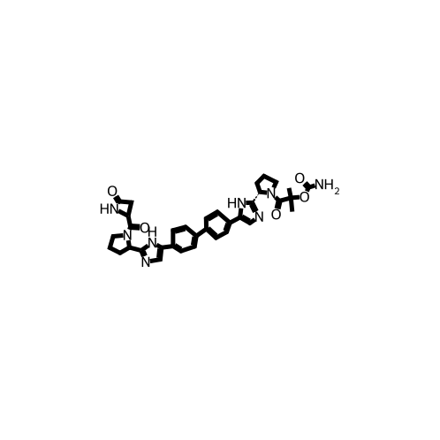 CC(C)(OC(N)=O)C(=O)N1CCC[C@H]1c1ncc(-c2ccc(-c3ccc(-c4cnc(C5CCCN5C(=O)C5CC(=O)N5)[nH]4)cc3)cc2)[nH]1